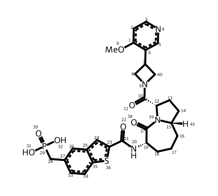 COc1ccncc1C1CN(C(=O)[C@@H]2CC[C@@H]3CCC[C@H](NC(=O)c4cc5cc(CP(=O)(O)O)ccc5s4)C(=O)N32)C1